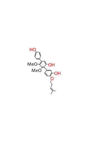 COc1c(-c2ccc(O)cc2)cc(O)c(-c2ccc(OCCC=C(C)C)c(O)c2)c1OC